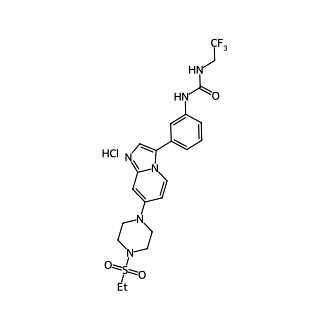 CCS(=O)(=O)N1CCN(c2ccn3c(-c4cccc(NC(=O)NCC(F)(F)F)c4)cnc3c2)CC1.Cl